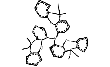 CC1(C)c2ccccc2Oc2c(N(c3cccc4c3Oc3ccccc3C4(C)C)c3cccc4c3Oc3ccccc3C4(C)C)cccc21